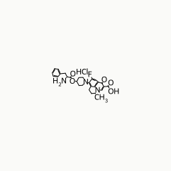 C[C@H]1CCc2c(N3CCC(OC(=O)[C@@H](N)Cc4ccccc4)CC3)c(F)cc3c(=O)c(C(=O)O)cn1c23.Cl